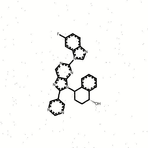 O[C@@H]1CCC(n2c(-c3cncnc3)nc3cnc(-n4cnc5ccc(F)cc54)nc32)c2ccccc21